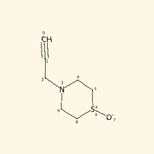 C#CCN1CC[S+]([O-])CC1